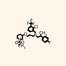 CC(CN(CCCOC1CCCN(S(C)(=O)=O)C1)Cc1cccc(C(F)(F)F)c1Cl)c1ccc(F)cc1